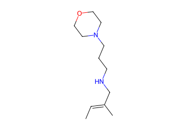 CC=C(C)CNCCCN1CCOCC1